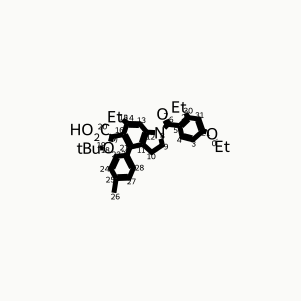 CCOc1ccc(C(=O)N2CCc3c2cc(CC)c([C@H](OC(C)(C)C)C(=O)O)c3-c2ccc(C)cc2)c(CC)c1